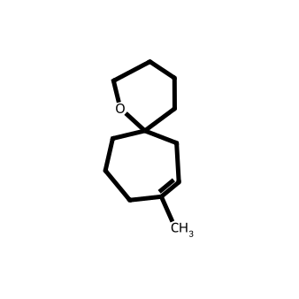 CC1=CCC2(CCCCO2)CCC1